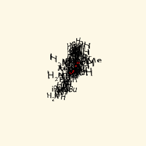 CC[C@H](C)[C@H](NC(=O)[C@@H](NC(=O)CN)C(C)C)C(=O)N[C@@H](CCCCN)C(=O)NCC(=O)N[C@@H](CO)C(=O)NCC(=O)N[C@@H](CC(N)=O)C(=O)N[C@@H](CS)C(=O)N[C@@H](CS)C(=O)N[C@H](C(=O)N[C@H](C(=O)N[C@@H](CC(C)C)C(=O)N[C@@H](CO)C(=O)N[C@@H](CCSC)C(=O)N[C@@H](CCSC)C(=O)N[C@@H](CO)C(=O)N[C@@H](CC(C)C)C(=O)N[C@@H](CO)C(=O)NCC(=O)O)[C@@H](C)O)[C@@H](C)O